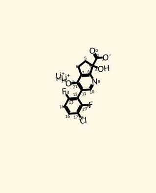 O=C([O-])C1(O)CCc2c1ncc(-c1c(F)ccc(Cl)c1F)c2[O-].[Li+].[Li+]